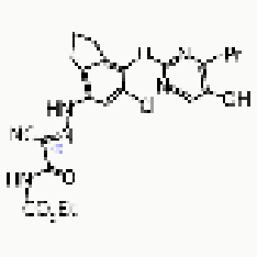 CCOC(=O)NC(=O)/C(C#N)=N/Nc1cc(Cl)c(Oc2ncc(O)c(C(C)C)n2)c2c1CCC2